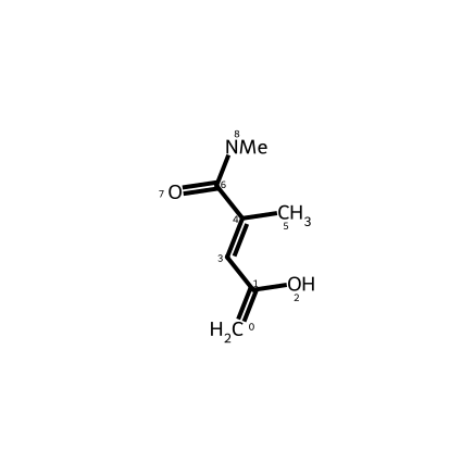 C=C(O)/C=C(\C)C(=O)NC